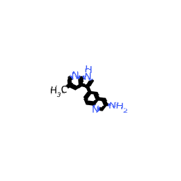 Cc1cnc2[nH]cc(-c3ccc4ncc(N)cc4c3)c2c1